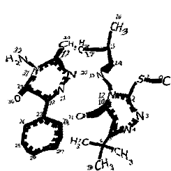 CSc1nnc(C(C)(C)C)c(=O)n1N=CC(C)C.Cc1nnc(-c2ccccc2)c(=O)n1N